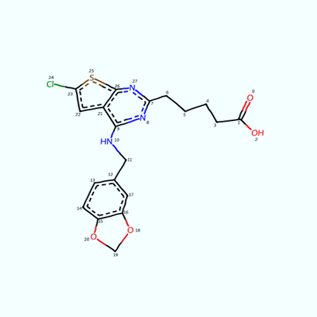 O=C(O)CCCCc1nc(NCc2ccc3c(c2)OCO3)c2cc(Cl)sc2n1